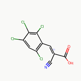 N#C/C(=C\c1c(Cl)cc(Cl)c(Cl)c1Cl)C(=O)O